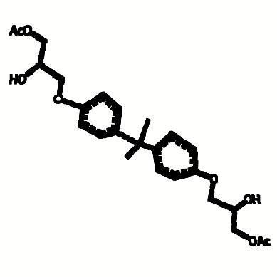 CC(=O)OCC(O)COc1ccc(C(C)(C)c2ccc(OCC(O)COC(C)=O)cc2)cc1